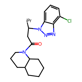 CC(C)C(CC(=O)N1CCCC2CCCCC21)n1nnc2c(Cl)cccc21